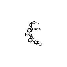 COc1cc(Nc2nnn3c2CCCC3c2ccc(Cl)cc2)ccc1-n1cnc(C)c1